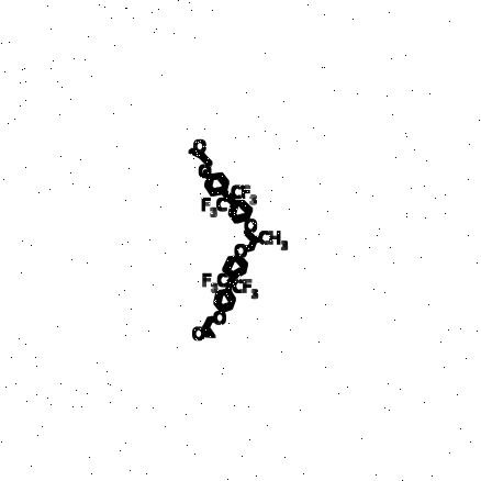 CC(COc1ccc(C(c2ccc(OCC3CO3)cc2)(C(F)(F)F)C(F)(F)F)cc1)COc1ccc(C(c2ccc(OCC3CO3)cc2)(C(F)(F)F)C(F)(F)F)cc1